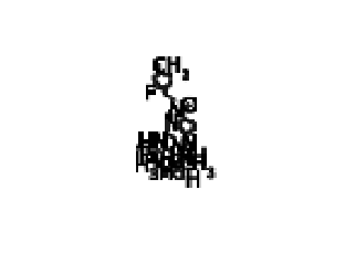 Cc1ccc(CCn2cnc3cc(N=C(N[C@H]4C[C@H]5C[C@H]([C@H]4C)C5(C)C)N4CCN[C@@H](C(C)C)C4)ccc3c2=O)c(F)c1